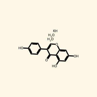 O.O.O=c1c(-c2ccc(O)cc2)coc2cc(O)cc(O)c12.[KH]